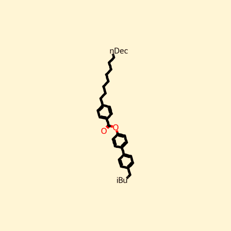 CCCCCCCCCCCCCCCCCCc1ccc(C(=O)Oc2ccc(-c3ccc(CC(C)CC)cc3)cc2)cc1